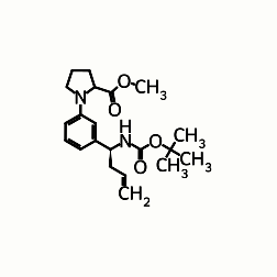 C=CC[C@H](NC(=O)OC(C)(C)C)c1cccc(N2CCCC2C(=O)OC)c1